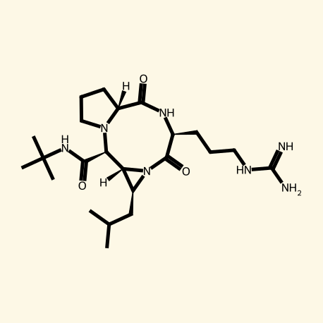 CC(C)C[C@H]1[C@@H]2[C@@H](C(=O)NC(C)(C)C)N3CCC[C@@H]3C(=O)N[C@@H](CCCNC(=N)N)C(=O)N21